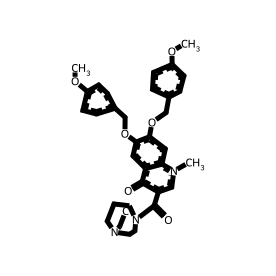 COc1ccc(COc2cc3c(=O)c(C(=O)N4CCN5CCC4CC5)cn(C)c3cc2OCc2ccc(OC)cc2)cc1